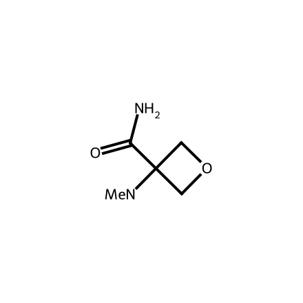 CNC1(C(N)=O)COC1